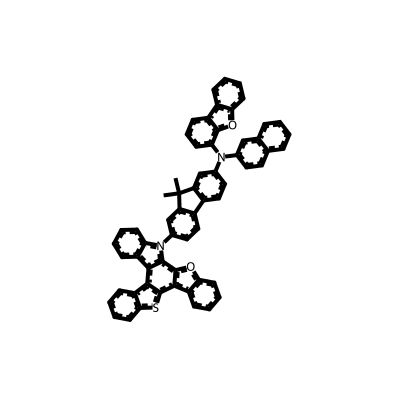 CC1(C)c2cc(N(c3ccc4ccccc4c3)c3cccc4c3oc3ccccc34)ccc2-c2ccc(-n3c4ccccc4c4c5c6ccccc6sc5c5c6ccccc6oc5c43)cc21